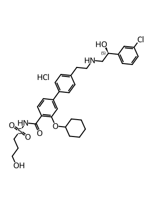 Cl.O=C(NS(=O)(=O)CCCO)c1ccc(-c2ccc(CCNC[C@@H](O)c3cccc(Cl)c3)cc2)cc1OC1CCCCC1